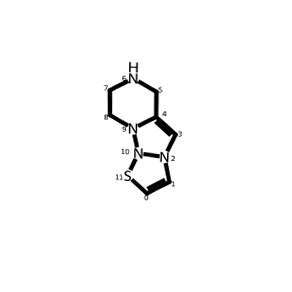 C1=CN2C=C3CNCCN3N2S1